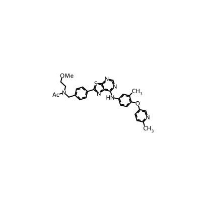 COCCN(Cc1ccc(-c2nc3c(Nc4ccc(Oc5ccc(C)nc5)c(C)c4)ncnc3s2)cc1)C(C)=O